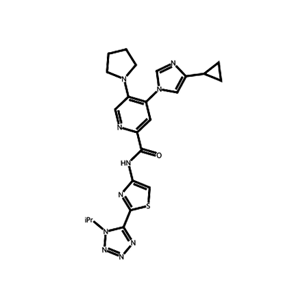 CC(C)n1nnnc1-c1nc(NC(=O)c2cc(-n3cnc(C4CC4)c3)c(N3CCCC3)cn2)cs1